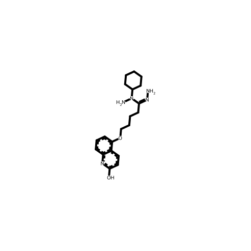 N/N=C(/CCCCOc1cccc2nc(O)ccc12)N(N)C1CCCCC1